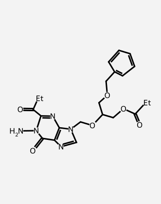 CCC(=O)OCC(COCc1ccccc1)OCn1cnc2c(=O)n(N)c(C(=O)CC)nc21